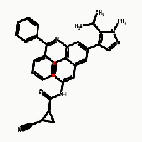 CC(C)c1c(-c2cc(N=C(c3ccccc3)c3ccccc3)c3cnc(NC(=O)C4CC4C#N)cc3c2)cnn1C